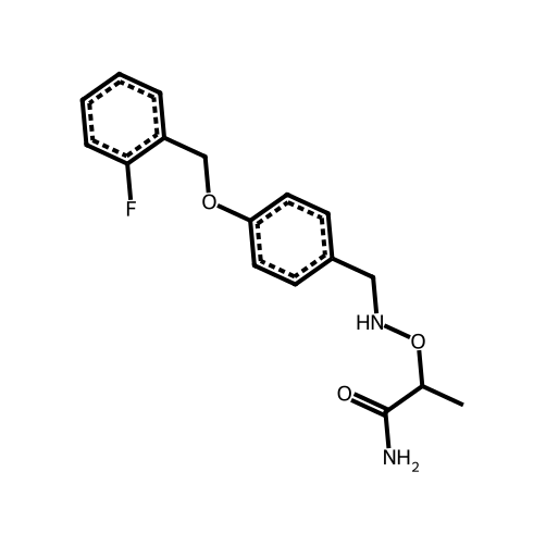 CC(ONCc1ccc(OCc2ccccc2F)cc1)C(N)=O